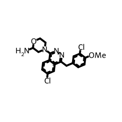 COc1ccc(Cc2nnc(N3CCOC(N)C3)c3ccc(Cl)cc23)cc1Cl